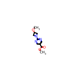 COC(=O)c1cnc(N2CC(OC)C2)nc1